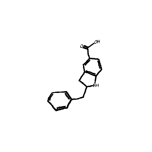 O=C(O)c1ccc2c(c1)CC(Cc1ccccc1)N2